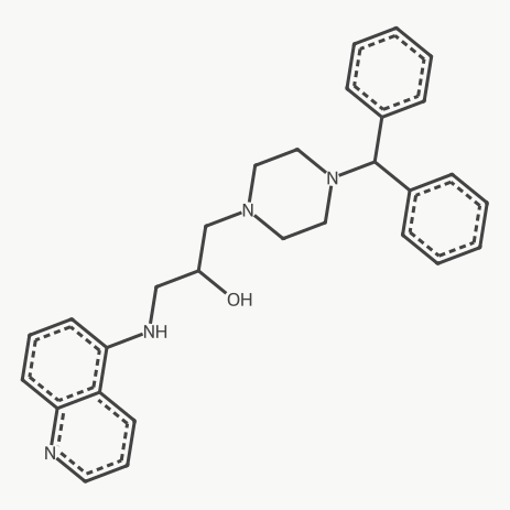 OC(CNc1cccc2ncccc12)CN1CCN(C(c2ccccc2)c2ccccc2)CC1